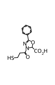 O=C(O)C1OC(c2ccccc2)=NN1C(=O)CCS